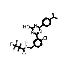 CC(C)c1ccc(-c2nc(O)nc(-c3cc(CNC(=O)C(C)(C)C(F)(F)F)ccc3Cl)n2)cc1